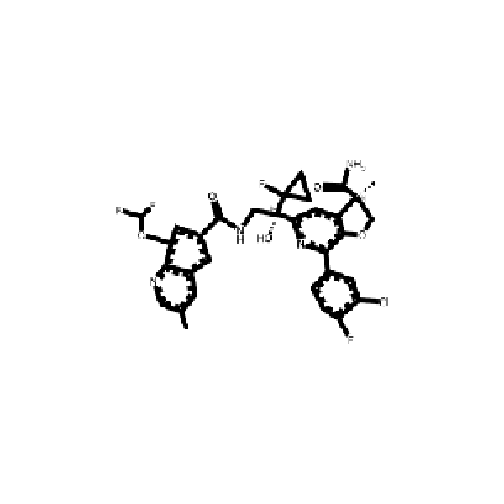 Cc1cnc2c(OC(F)F)cc(C(=O)NC[C@](O)(c3cc4c(c(-c5ccc(F)c(Cl)c5)n3)OC[C@]4(C)C(N)=O)C3(F)CC3)cc2c1